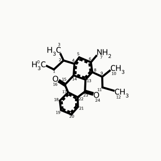 CCC(C)c1cc(N)c(C(C)CC)c2c1C(=O)c1ccccc1C2=O